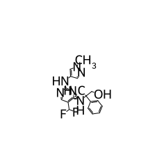 Cn1cc(Nc2ncc(C(F)F)c(NC(C)(CO)c3ccccc3)n2)cn1